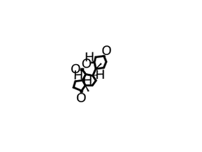 C[C@]12CCC(=O)C[C@H]1OC(=O)[C@@H]1[C@@H]2CC[C@]2(C)C(=O)CC[C@@H]12